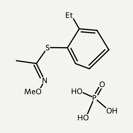 CCc1ccccc1SC(C)=NOC.O=P(O)(O)O